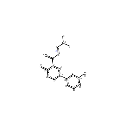 CN(C)/C=C/C(=O)c1nn(-c2ccnc(Cl)c2)ccc1=O